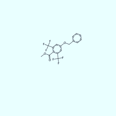 COC(=O)c1c(C(F)(F)F)cc(OCc2ccccc2)cc1C(F)(F)F